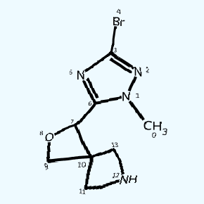 Cn1nc(Br)nc1C1OCC12CNC2